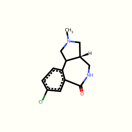 CN1CC2c3ccc(Cl)cc3C(=O)NC[C@H]2C1